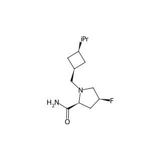 CC(C)[C@H]1C[C@@H](CN2C[C@@H](F)C[C@H]2C(N)=O)C1